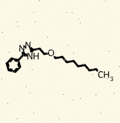 CCCCCCCCCOCCc1nnc(-c2ccccc2)[nH]1